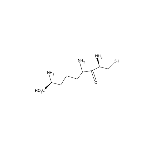 NC(CCC[C@H](N)C(=O)O)C(=O)[C@@H](N)CS